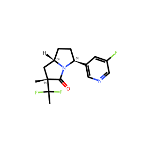 CC(F)(F)[C@]1(C)C[C@@H]2CC[C@@H](c3cncc(F)c3)N2C1=O